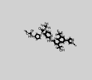 [2H]C([2H])([2H])n1c(=O)n([C@@H]2CC[C@@H](NC(=O)OC)C2)c2cc(Nc3cc(C(C)(C)O)c4cc(-c5cnn(C)c5)cc(C(F)(F)F)c4n3)ncc21